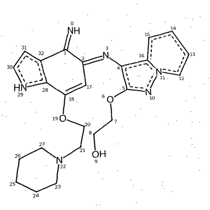 N=C1C(=Nc2c(OCCO)nn3ccccc23)C=C(OCCN2CCCCC2)c2[nH]ccc21